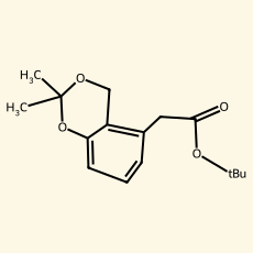 CC(C)(C)OC(=O)Cc1cccc2c1COC(C)(C)O2